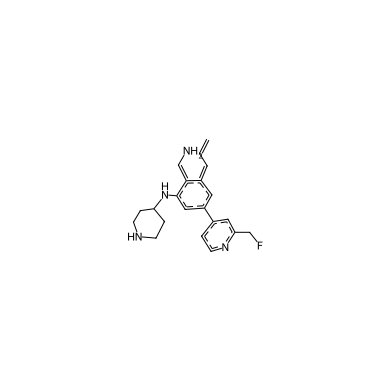 C=C/C=c1/cc(-c2ccnc(CF)c2)cc(NC2CCNCC2)/c1=C/N